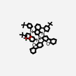 CC(C)(C)c1ccc(N2B3c4cc(N(c5cccc(C(C)(C)C)c5)c5cccc(C(C)(C)C)c5)ccc4N(c4ccc(C(C)(C)C)cc4-c4ccccc4)c4cc5c(oc6ccccc65)c(c43)-c3ccc4c(oc5ccccc54)c32)cc1